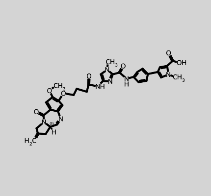 C=C1C[C@H]2C=Nc3cc(OCCCC(=O)Nc4cn(C)c(C(=O)Nc5ccc(-c6cc(C(=O)O)n(C)c6)cc5)n4)c(OC)cc3C(=O)N2C1